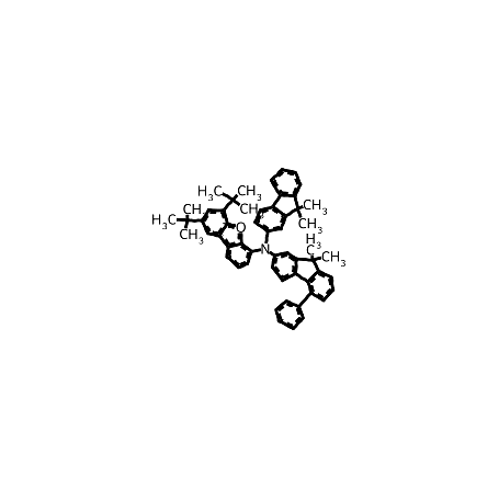 CC(C)(C)c1cc(C(C)(C)C)c2oc3c(N(c4ccc5c(c4)C(C)(C)c4ccccc4-5)c4ccc5c(c4)C(C)(C)c4cccc(-c6ccccc6)c4-5)cccc3c2c1